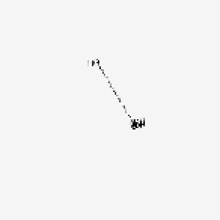 O=P(O)(O)OCCCCCCCCCCCCCCCCCCCCCCCCCCCCCCCCCO